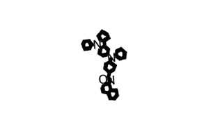 c1ccc(N(c2ccc(-c3nc4c(ccc5ccccc54)o3)cc2)c2ccc3c(c2)c2ccccc2n3-c2ccccc2)cc1